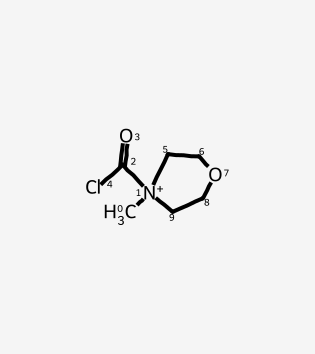 C[N+]1(C(=O)Cl)CCOCC1